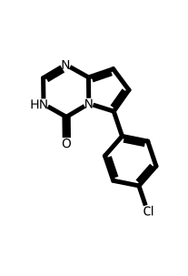 O=c1[nH]cnc2ccc(-c3ccc(Cl)cc3)n12